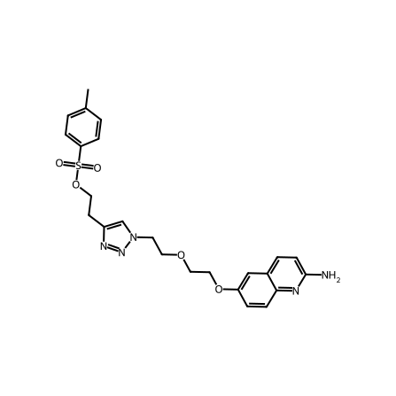 Cc1ccc(S(=O)(=O)OCCc2cn(CCOCCOc3ccc4nc(N)ccc4c3)nn2)cc1